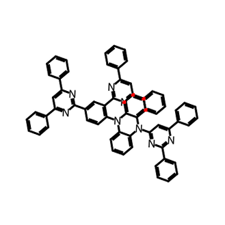 c1ccc(-c2cc(-c3ccccc3)nc(-c3ccc(N4c5ccccc5N(c5cc(-c6ccccc6)nc(-c6ccccc6)n5)c5ccccc54)c(-c4nc(-c5ccccc5)cc(-c5ccccc5)n4)c3)n2)cc1